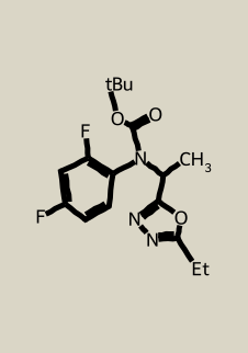 CCc1nnc(C(C)N(C(=O)OC(C)(C)C)c2ccc(F)cc2F)o1